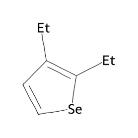 CCc1cc[se]c1CC